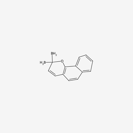 BC1(B)C=Cc2ccc3ccccc3c2O1